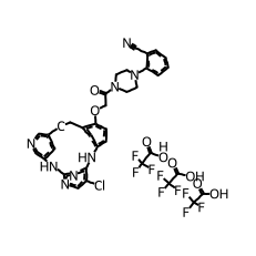 N#Cc1ccccc1N1CCN(C(=O)COc2ccc3cc2CCc2cncc(c2)Nc2ncc(Cl)c(n2)N3)CC1.O=C(O)C(F)(F)F.O=C(O)C(F)(F)F.O=C(O)C(F)(F)F